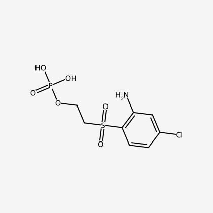 Nc1cc(Cl)ccc1S(=O)(=O)CCOP(=O)(O)O